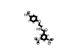 O=C(NCCOc1ccc(NCl)cc1)c1cc([N+](=O)[O-])cc([N+](=O)[O-])c1